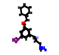 NC/C=C/c1cc(P)cc(OCC2CCCCC2)c1